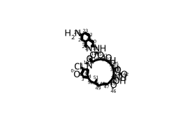 COc1cc2cc(c1Cl)N(C)C(=O)C[C@H](OC(=O)Nc1cc3ccc(N)cc3cn1)[C@]1(C)O[C@H]1[C@H](C)[C@@H]1C[C@@](O)(NC(=O)O1)[C@H](OC)/C=C/C=C(\C)C2